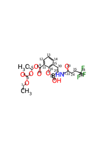 CCOC(=O)OC(C)OC(=O)c1cccc2c1OB(O)[C@@H](NC(=O)CCC(F)(F)F)C2